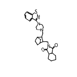 O=C1C2CCCCC2C(=O)N1CC1C2CCC(C2)C1CN1CCN(c2nsc3ccccc23)CC1